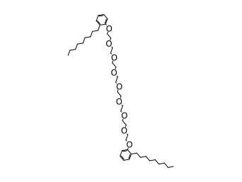 CCCCCCCCCc1ccccc1OCCOCCOCCOCCOCCOCCOCCOCCOc1ccccc1CCCCCCCCC